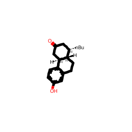 CCCC[C@H]1CC(=O)C[C@@H]2c3ccc(O)cc3CC[C@@H]12